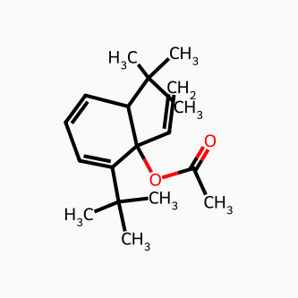 C=CC1(OC(C)=O)C(C(C)(C)C)=CC=CC1C(C)(C)C